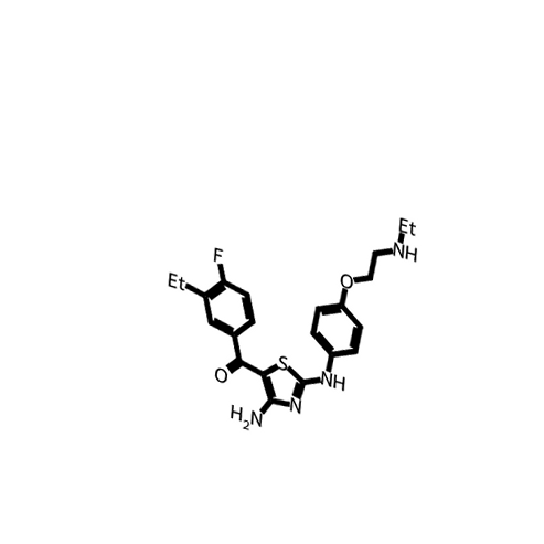 CCNCCOc1ccc(Nc2nc(N)c(C(=O)c3ccc(F)c(CC)c3)s2)cc1